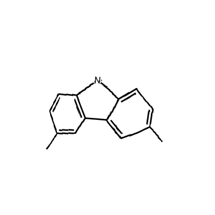 Cc1ccc2c(c1)-c1cc(C)ccc1[N]2